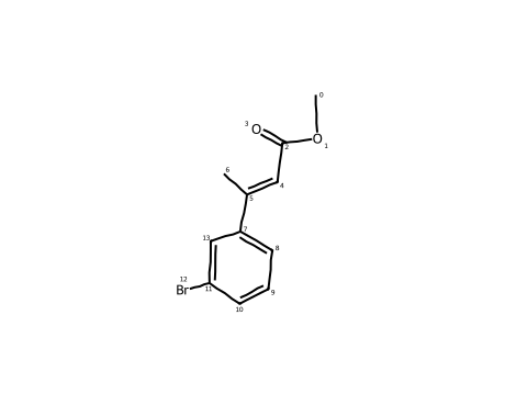 COC(=O)/C=C(\C)c1cccc(Br)c1